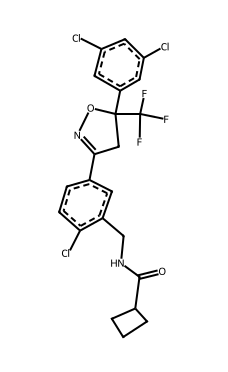 O=C(NCc1cc(C2=NOC(c3cc(Cl)cc(Cl)c3)(C(F)(F)F)C2)ccc1Cl)C1CCC1